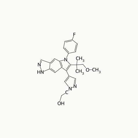 COCC(C)(C)c1c(-c2cnn(CCO)c2)c2cc3[nH]ncc3cc2n1-c1ccc(F)cc1